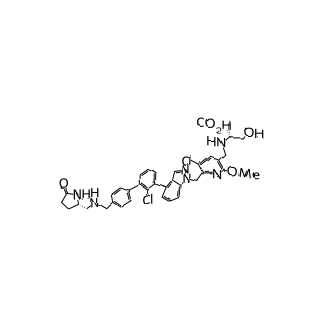 COc1nc(Cn2ncc3c(-c4cccc(-c5ccc(CNC[C@@H]6CCC(=O)N6)cc5)c4Cl)cccc32)c(Cl)cc1CN[C@@H](CO)C(=O)O